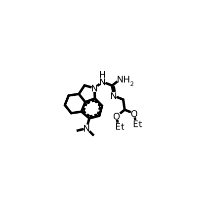 CCOC(CN=C(N)NN1CC2CCCc3c(N(C)C)ccc1c32)OCC